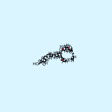 C=C1C[C@@H]2CC[C@@]34OC5C3CO[C@H]3[C@@H](O4)[C@H]4O[C@H](CC[C@@H]4O[C@@H]53)CC(=O)C[C@@H]3C[C@@H]4O[C@@H]5C[C@]6(C[C@@H]7O[C@@]8(CC[C@@H]7O6)C[C@H](C)[C@@H]6O[C@@H]7[C@@H]([C@@H](O)CO)CO[C@@H]7C[C@@H]6O8)O[C@@H]5C[C@@H]4O[C@H]3C[C@H]3O[C@@H](CC[C@@H]1O2)C[C@@H](C)C3=C